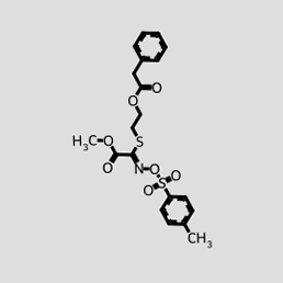 COC(=O)/C(=N/OS(=O)(=O)c1ccc(C)cc1)SCCOC(=O)Cc1ccccc1